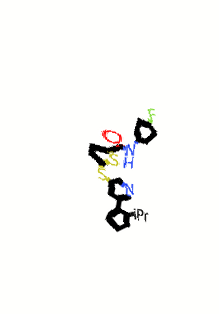 CC(C)c1ccccc1-c1cncc(Sc2ccc(C(=O)Nc3ccc(F)cc3)s2)c1